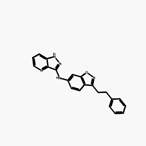 c1ccc(CCc2noc3cc(Nc4n[nH]c5cccnc45)ccc23)cc1